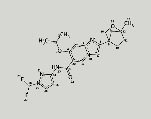 CC(C)Oc1cc2nc(C34CCC(C)(C3)OC4)cn2cc1C(=O)Nc1ccn(C(F)F)n1